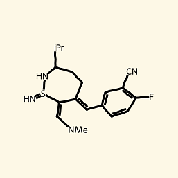 CN/C=C1\C(=C\c2ccc(F)c(C#N)c2)CCC(C(C)C)NS1=N